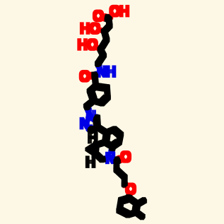 Cc1cccc(OCCCC(=O)N2C[C@@H]3C[C@@H]3c3c(-c4cnn(Cc5cccc(C(=O)NCC[C@@H](O)C[C@@H](O)CC(=O)O)c5)c4)cccc32)c1C